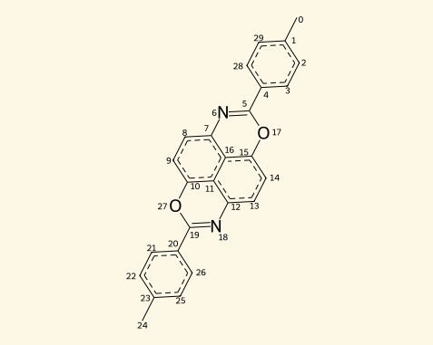 Cc1ccc(C2=Nc3ccc4c5c(ccc(c35)O2)N=C(c2ccc(C)cc2)O4)cc1